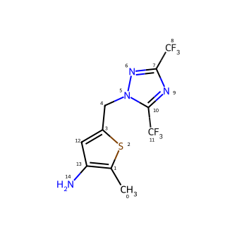 Cc1sc(Cn2nc(C(F)(F)F)nc2C(F)(F)F)cc1N